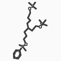 C[Si](C)(C)OCCCCC(CCCO[Si](C)(C)c1ccccc1)CCO[Si](C)(C)C